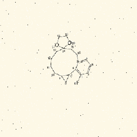 Fc1cccc2c1C1CC1CCCCC1(CC2)OCCO1